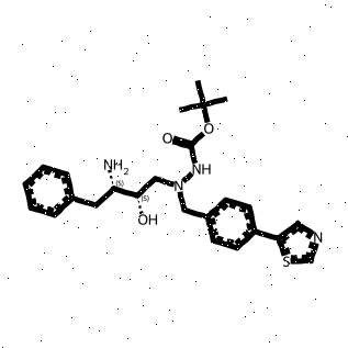 CC(C)(C)OC(=O)NN(Cc1ccc(-c2cncs2)cc1)C[C@H](O)[C@@H](N)Cc1ccccc1